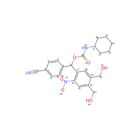 N#Cc1ccc(C(OC(=O)NC2CCCCC2)c2cc(CO)c(CO)cc2[N+](=O)[O-])cc1